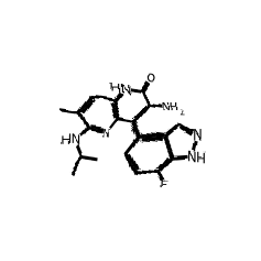 Cc1cc2[nH]c(=O)c(N)c(-c3ccc(F)c4[nH]ncc34)c2nc1NC(C)C